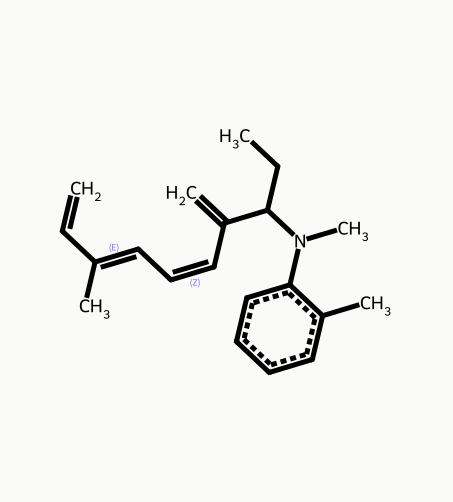 C=C/C(C)=C/C=C\C(=C)C(CC)N(C)c1ccccc1C